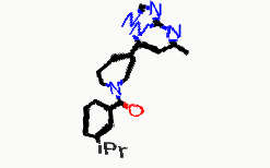 Cc1cc(C2CCCN(C(=O)c3cccc(C(C)C)c3)C2)n2ncnc2n1